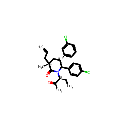 C=CC[C@]1(C)C[C@H](c2cccc(Cl)c2)C(c2ccc(Cl)cc2)N([C@@H](CC)C(C)=O)C1=O